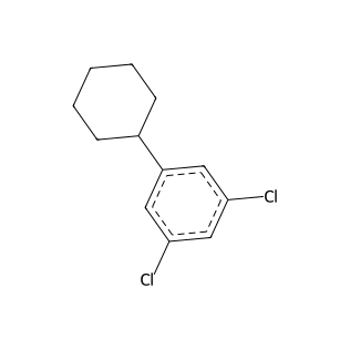 Clc1cc(Cl)cc(C2CCCCC2)c1